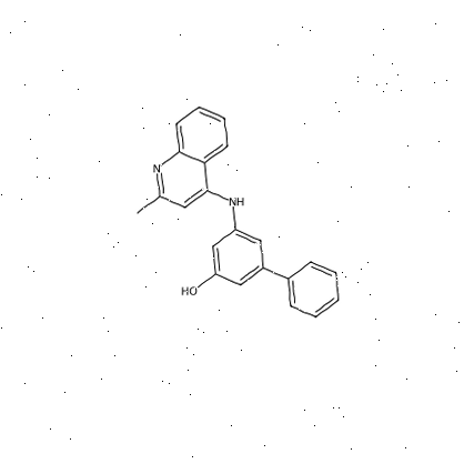 Cc1cc(Nc2cc(O)cc(-c3ccccc3)c2)c2ccccc2n1